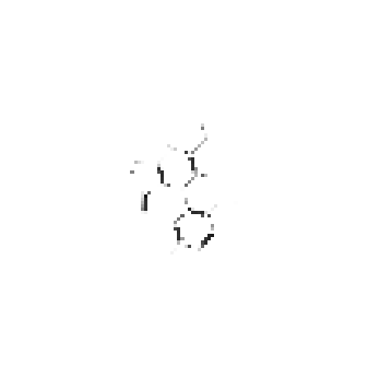 O=C(O)C1=C(CF)NC2=C(C(=O)OC2)C1c1cc(F)ccc1C(F)(F)F